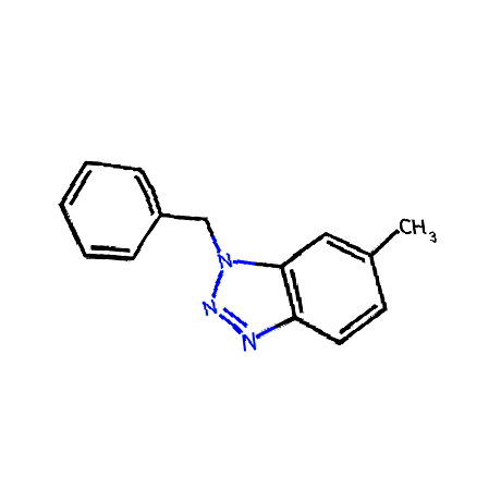 Cc1ccc2nnn(Cc3ccccc3)c2c1